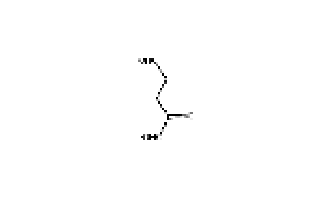 O=[C]CCC(=O)[C]=O